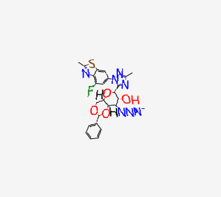 Cc1nc([C@@H]2O[C@@H]3COC(c4ccccc4)O[C@@H]3[C@H](N=[N+]=[N-])[C@H]2O)n(-c2cc(F)c3nc(C)sc3c2)n1